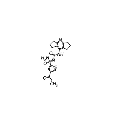 CCC(=O)c1csc(S(N)(=O)=NC(=O)Nc2c3c(nc4c2CCC4)CCC3)c1